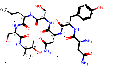 C[C@@H](O)[C@H](NC(=O)[C@@H](CO)NC(=O)[C@H](CCC(=O)O)NC(=O)[C@H](CO)NC(=O)[C@@H](CC(N)=O)NC(=O)[C@@H](Cc1ccc(O)cc1)NC(=O)[C@@H](N)CC(N)=O)C(=O)O